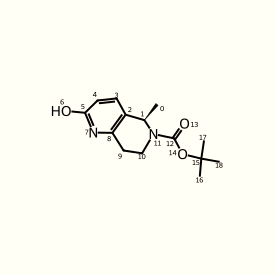 C[C@@H]1c2ccc(O)nc2CCN1C(=O)OC(C)(C)C